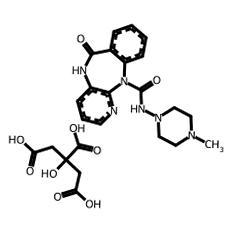 CN1CCN(NC(=O)N2c3ccccc3C(=O)Nc3cccnc32)CC1.O=C(O)CC(O)(CC(=O)O)C(=O)O